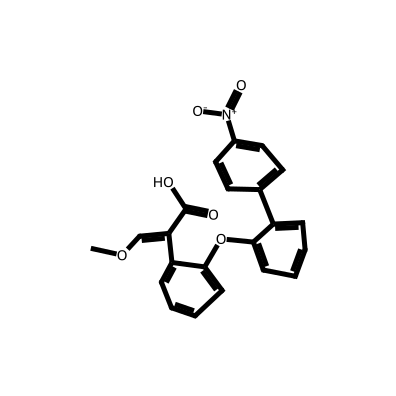 CO/C=C(/C(=O)O)c1ccccc1Oc1ccccc1-c1ccc([N+](=O)[O-])cc1